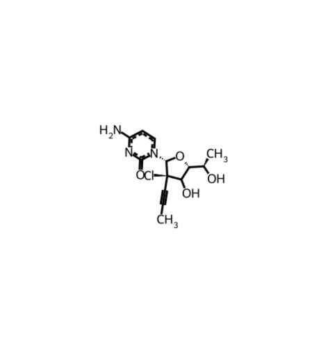 CC#C[C@@]1(Cl)C(O)[C@@H]([C@@H](C)O)O[C@H]1n1ccc(N)nc1=O